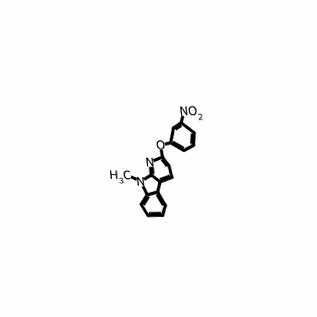 Cn1c2ccccc2c2ccc(Oc3cccc([N+](=O)[O-])c3)nc21